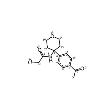 CC(=O)c1ccc(C2(NC(=O)CCl)CCOCC2)cc1